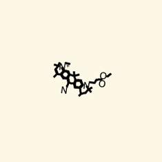 CCOC(=O)CCCN1c2cc3c(cc2C(C)CC1(C)C)C(C#N)=c1cc2c(cc1C3(C)C)=[N+](CC)C(C)(C)C=C2C